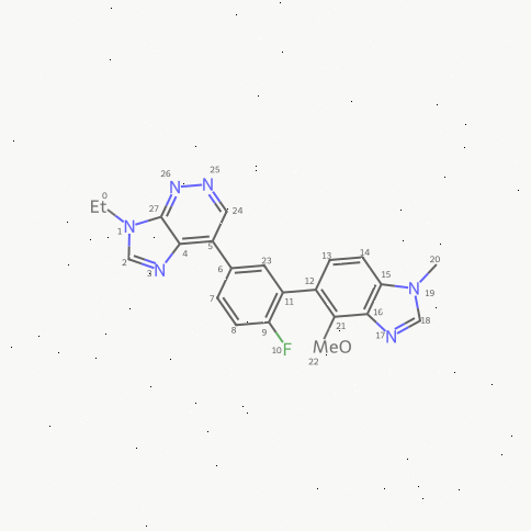 CCn1cnc2c(-c3ccc(F)c(-c4ccc5c(ncn5C)c4OC)c3)cnnc21